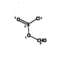 O=COS(=O)Cl